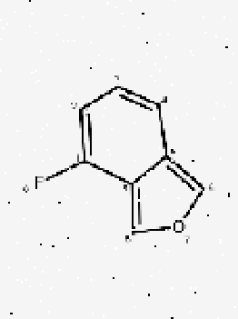 Fc1[c]ccc2cocc12